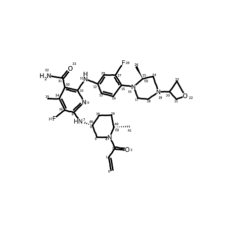 C=CC(=O)N1C[C@H](Nc2nc(Nc3ccc(N4CCN(C5COC5)C[C@@H]4C)c(F)c3)c(C(N)=O)c(C)c2F)CC[C@@H]1C